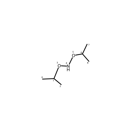 CC(C)ONOC(C)C